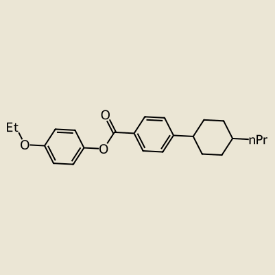 CCCC1CCC(c2ccc(C(=O)Oc3ccc(OCC)cc3)cc2)CC1